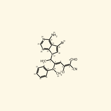 CC(/C(=C/C(Cl)=C(/C#N)C=O)N(C)c1ccccc1)n1cc(Br)c2c(N)ncnc21